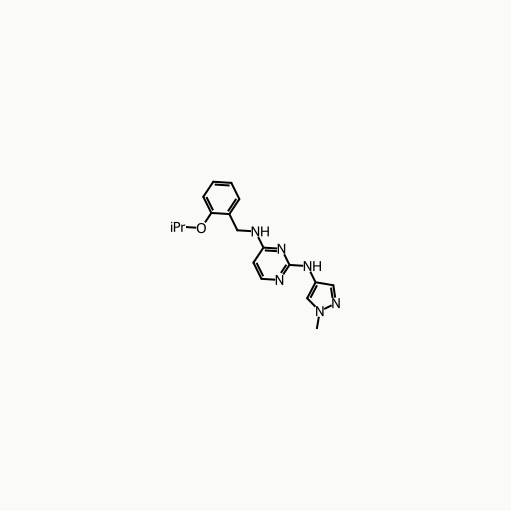 CC(C)Oc1ccccc1CNc1ccnc(Nc2cnn(C)c2)n1